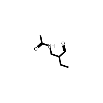 CCC(C=O)CNC(C)=O